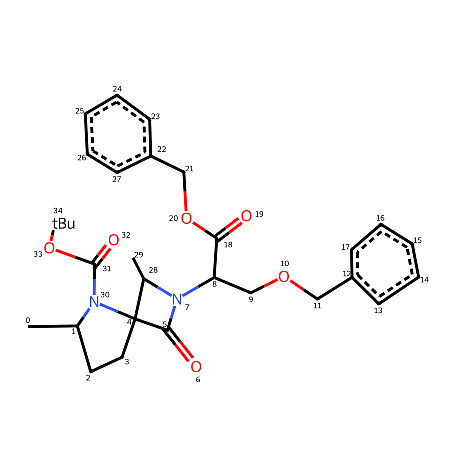 CC1CCC2(C(=O)N(C(COCc3ccccc3)C(=O)OCc3ccccc3)C2C)N1C(=O)OC(C)(C)C